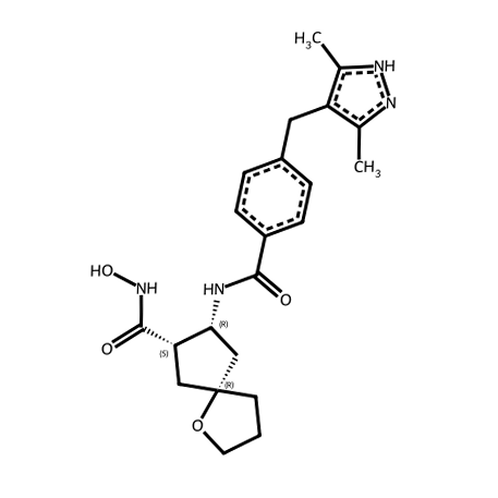 Cc1n[nH]c(C)c1Cc1ccc(C(=O)N[C@@H]2C[C@@]3(CCCO3)C[C@@H]2C(=O)NO)cc1